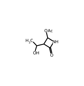 CC(=O)OC1NC(=O)C1C(C)O